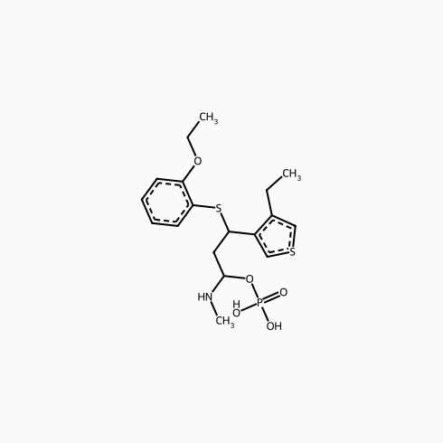 CCOc1ccccc1SC(CC(NC)OP(=O)(O)O)c1cscc1CC